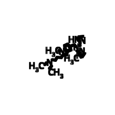 CCCN(CCC)CCCCc1cc2cc(CN(Cc3ncc[nH]3)Cc3nccn3C)ccc2n1C